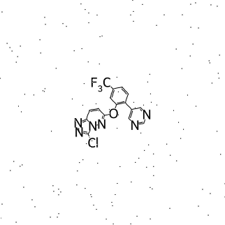 FC(F)(F)c1ccc(-c2cncnc2)c(Oc2ccc3nnc(Cl)n3n2)c1